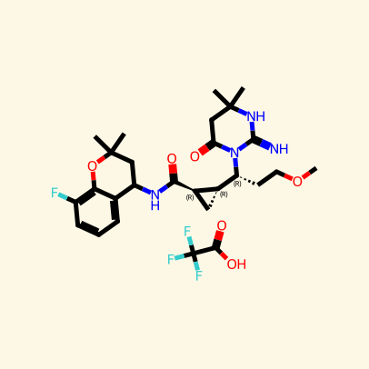 COCC[C@H]([C@@H]1C[C@H]1C(=O)NC1CC(C)(C)Oc2c(F)cccc21)N1C(=N)NC(C)(C)CC1=O.O=C(O)C(F)(F)F